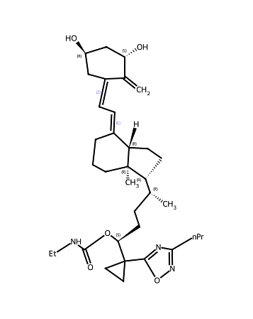 C=C1/C(=C\C=C2/CCC[C@]3(C)[C@@H]([C@H](C)CC[C@H](OC(=O)NCC)C4(c5nc(CCC)no5)CC4)CC[C@@H]23)C[C@@H](O)C[C@@H]1O